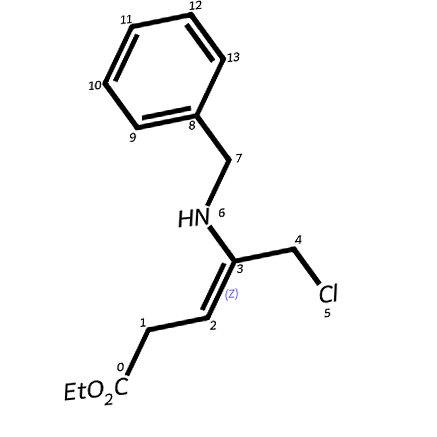 CCOC(=O)C/C=C(/CCl)NCc1ccccc1